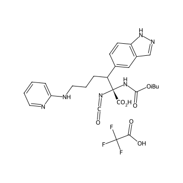 CC(C)COC(=O)N[C@@](N=C=O)(C(=O)O)C(CCCNc1ccccn1)c1ccc2[nH]ncc2c1.O=C(O)C(F)(F)F